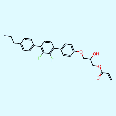 C=CC(=O)OCC(O)COc1ccc(-c2ccc(-c3ccc(CCC)cc3)c(F)c2F)cc1